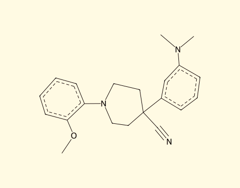 COc1ccccc1N1CCC(C#N)(c2cccc(N(C)C)c2)CC1